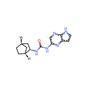 O=C(Nc1cnc2[nH]ccc2n1)N[C@@H]1C[C@H]2CC[C@@H]1C2